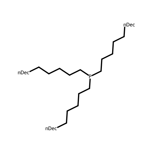 CCCCCCCCCCCCCCCP(CCCCCCCCCCCCCCC)CCCCCCCCCCCCCCC